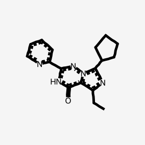 CCc1nc(C2CCCC2)n2nc(-c3ccccn3)[nH]c(=O)c12